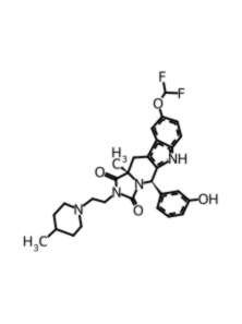 CC1CCN(CCN2C(=O)N3[C@H](c4cccc(O)c4)c4[nH]c5ccc(OC(F)F)cc5c4C[C@@]3(C)C2=O)CC1